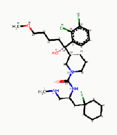 CNC[C@H](CC1(F)CCCCC1)NC(=O)N1CCC[C@@H]([C@@](O)(CCCCOC)c2cccc(F)c2Cl)C1